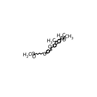 C=COC(=O)CCCCCOc1ccc(SC(=O)c2ccc3c(c2)[C@H](C)C2C=C(OC(=O)C(=C)C)C=CC32)cc1